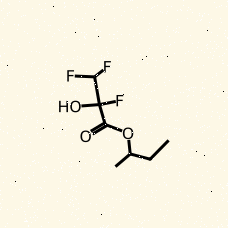 CCC(C)OC(=O)C(O)(F)C(F)F